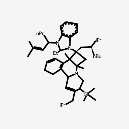 CCCC[C@@H](C[C@@]1(N2c3ccccc3N(C(C=C(C)C)CCC)C2CC)CC2(C)N3CC([Si](C)(C)C)C(CC(C)C)=CC3C3=C(C=CCC3)C21C)C(C)C